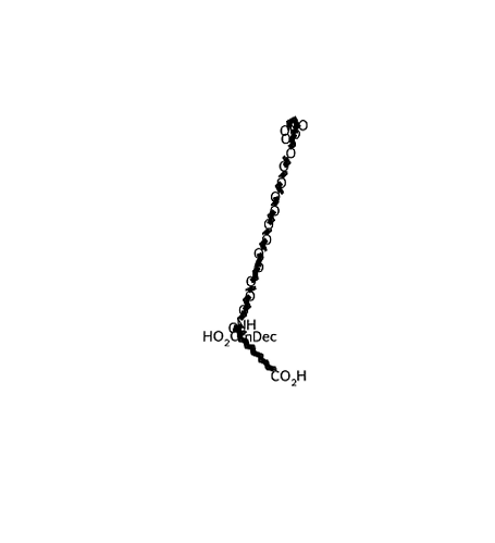 CCCCCCCCCCC[C@](CCCCCCCCCCC(=O)O)(C(=O)O)C(=O)NCCOCCOCCOCCOCCOCCOCCOCCOCCOCCOCCOCCOCCC(=O)ON1C(=O)CCC1=O